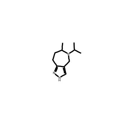 CC(C)N1Cc2c[nH]nc2CCC1C